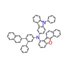 c1ccc(-c2cc(N(c3ccc4c(c3)c3ccccc3n4-c3ccccc3)c3cccc4oc5c6ccccc6ccc5c34)ccc2-c2ccc3ccccc3c2)cc1